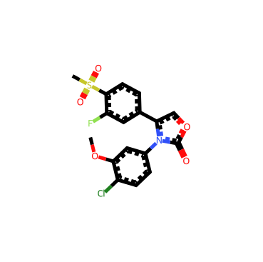 COc1cc(-n2c(-c3ccc(S(C)(=O)=O)c(F)c3)coc2=O)ccc1Cl